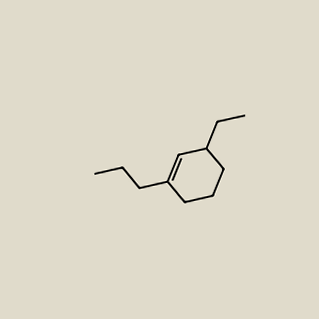 CCCC1=CC(CC)CCC1